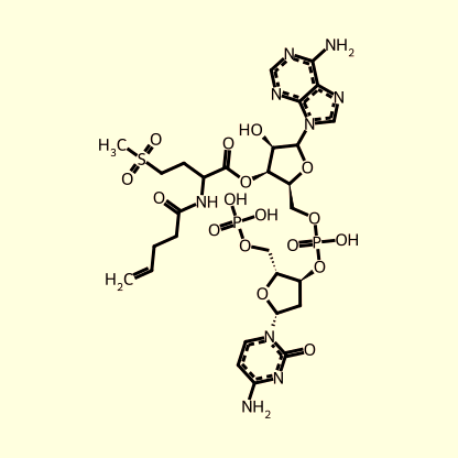 C=CCCC(=O)NC(CCS(C)(=O)=O)C(=O)O[C@@H]1[C@H](COP(=O)(O)O[C@H]2C[C@H](n3ccc(N)nc3=O)O[C@@H]2COP(=O)(O)O)OC(n2cnc3c(N)ncnc32)[C@@H]1O